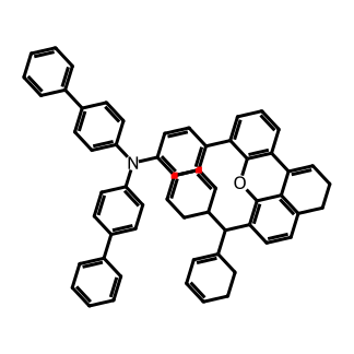 C1=CCCC(C(c2ccc3c4c2Oc2c(cccc2-c2ccc(N(c5ccc(-c6ccccc6)cc5)c5ccc(-c6ccccc6)cc5)cc2)C4=CCC3)C2C=CC=CC2)=C1